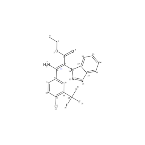 CCOC(=O)/C(=C(\N)c1ccc(Cl)c(C(F)(F)F)c1)n1nnc2ccccc21